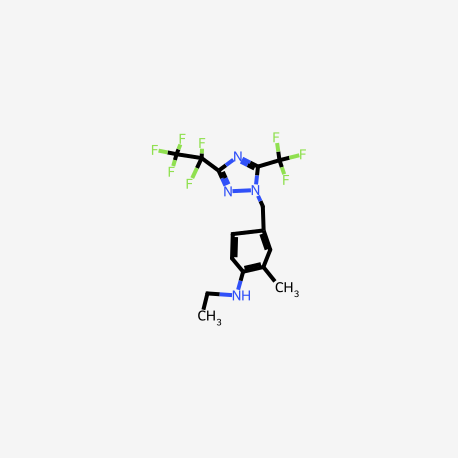 CCNc1ccc(Cn2nc(C(F)(F)C(F)(F)F)nc2C(F)(F)F)cc1C